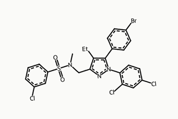 CCc1c(CN(C)S(=O)(=O)c2cccc(Cl)c2)nn(-c2ccc(Cl)cc2Cl)c1-c1ccc(Br)cc1